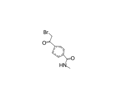 CNC(=O)c1ccc(C(=O)CBr)cc1